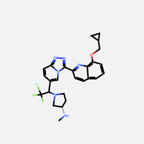 CN[C@H]1CCN(C(c2ccc3nnc(-c4ccc5cccc(OCC6CC6)c5n4)n3c2)C(F)(F)F)C1